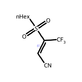 CCCCCCS(=O)(=O)/C(=C/C#N)C(F)(F)F